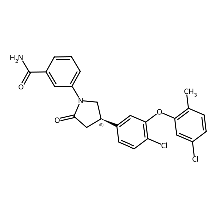 Cc1ccc(Cl)cc1Oc1cc([C@H]2CC(=O)N(c3cccc(C(N)=O)c3)C2)ccc1Cl